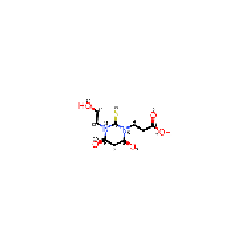 O=C(O)CCN1C(=O)CC(=O)N(CCO)C1=S